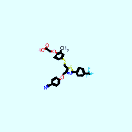 Cc1cc(SCc2sc(-c3ccc(C(F)(F)F)cc3)nc2COc2ccc(C#N)cc2)ccc1OCC(=O)O